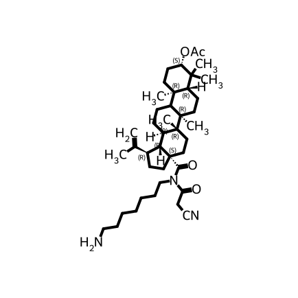 C=C(C)[C@@H]1CC[C@]2(C(=O)N(CCCCCCCN)C(=O)CC#N)CC[C@]3(C)[C@H](CCC4[C@@]5(C)CC[C@H](OC(C)=O)C(C)(C)[C@@H]5CC[C@]43C)[C@@H]12